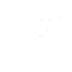 CO[C@@H]([C@H]1C[C@@H](C)C2[C@H](O1)[C@H](O)[C@@]1(C)[C@@H]3CC[C@H]4C(C)(C)[C@@H](OC(=O)N5CCOCC5)CC[C@@]45C[C@@]35CC[C@]21C)C(C)(C)O